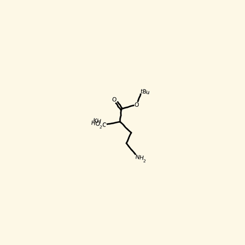 CC(C)(C)OC(=O)C(CCN)C(=O)O.[KH]